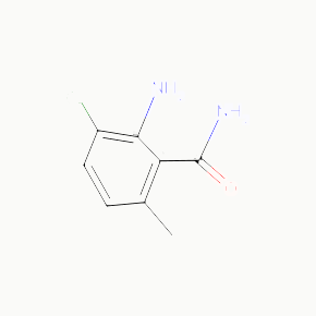 Cc1ccc(Cl)c(N)c1C(N)=O